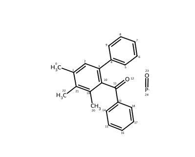 Cc1cc(-c2ccccc2)c(C(=O)c2ccccc2)c(C)c1C.O=[P]